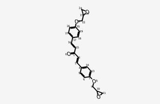 O=C(/C=C/c1ccc(OCC2CO2)cc1)/C=C/c1ccc(OCC2CO2)cc1